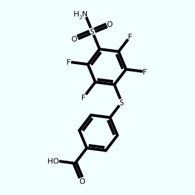 NS(=O)(=O)c1c(F)c(F)c(Sc2ccc(C(=O)O)cc2)c(F)c1F